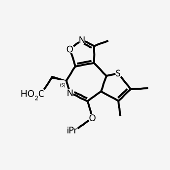 CC1=C(C)C2C(OC(C)C)=N[C@@H](CC(=O)O)c3onc(C)c3C2S1